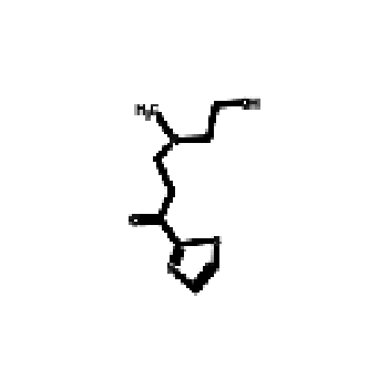 CN(CCO)CCC(=O)c1nccs1